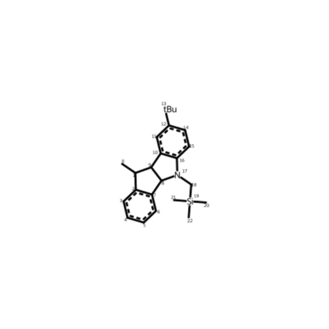 CC1c2ccccc2C2C1c1cc(C(C)(C)C)ccc1N2C[Si](C)(C)C